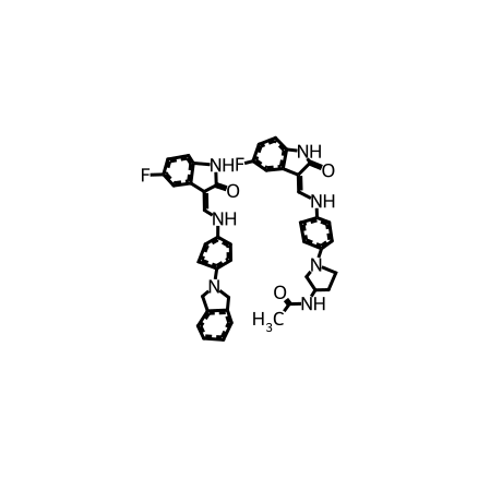 CC(=O)NC1CCN(c2ccc(NC=C3C(=O)Nc4ccc(F)cc43)cc2)C1.O=C1Nc2ccc(F)cc2C1=CNc1ccc(N2Cc3ccccc3C2)cc1